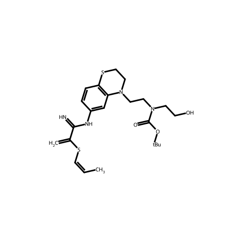 C=C(S/C=C\C)C(=N)Nc1ccc2c(c1)N(CCN(CCO)C(=O)OC(C)(C)C)CCS2